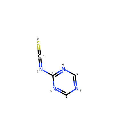 S=C=Nc1ncncn1